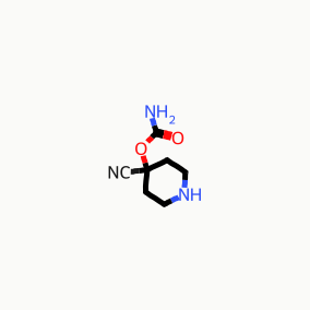 N#CC1(OC(N)=O)CCNCC1